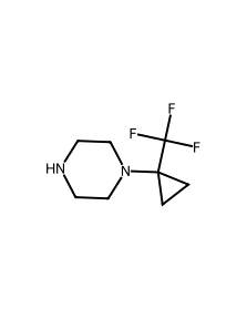 FC(F)(F)C1(N2CCNCC2)CC1